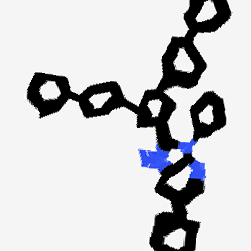 c1ccc(-c2ccc(-c3cc(-c4ccc(-c5ccccc5)cc4)cc(C4Nc5cc(-c6ccccc6)cnc5N4c4ccccc4)c3)cc2)cc1